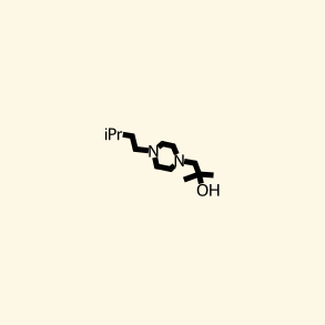 CC(C)CCN1CCN(CC(C)(C)O)CC1